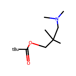 CN(C)CC(C)(C)COC(=O)C(C)(C)C